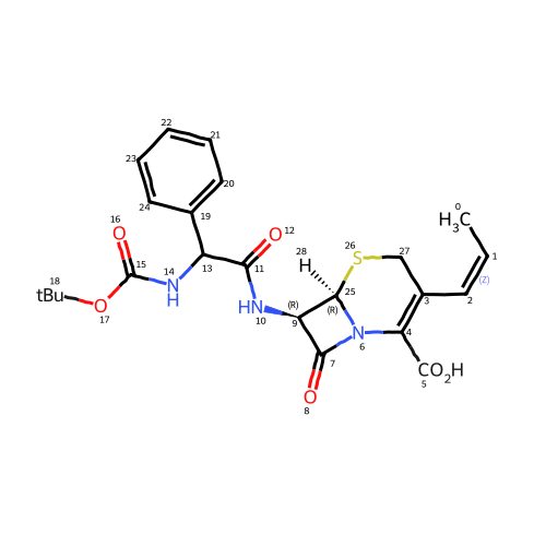 C/C=C\C1=C(C(=O)O)N2C(=O)[C@@H](NC(=O)C(NC(=O)OC(C)(C)C)c3ccccc3)[C@H]2SC1